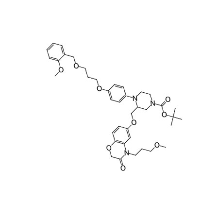 COCCCN1C(=O)COc2ccc(OCC3CN(C(=O)OC(C)(C)C)CCN3c3ccc(OCCCOCc4ccccc4OC)cc3)cc21